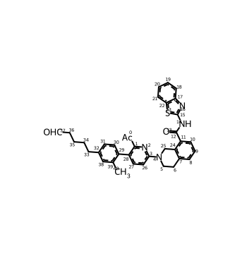 CC(=O)c1nc(N2CCc3cccc(C(=O)Nc4nc5ccccc5s4)c3C2)ccc1-c1ccc(CCCCC=O)cc1C